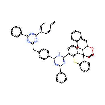 C=C/C=C\C(=C/C)c1nc(Cc2ccc(C3N=C(c4ccccc4)N=C(c4cccc5c4Sc4ccccc4C54c5ccccc5OC5C=c6ccccc6=CC54)N3)cc2)nc(-c2ccccc2)n1